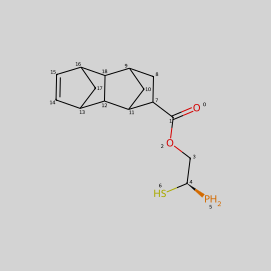 O=C(OC[C@@H](P)S)C1CC2CC1C1C3C=CC(C3)C21